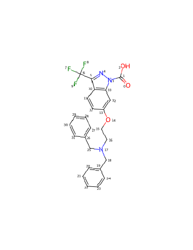 O=C(O)n1nc(C(F)(F)F)c2ccc(OCCN(Cc3ccccc3)Cc3ccccc3)cc21